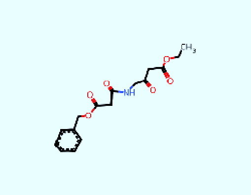 CCOC(=O)CC(=O)CNC(=O)CC(=O)OCc1ccccc1